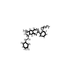 CCCOc1ccccc1-c1ncc2cc3c(cc2n1)N(CCc1ccccc1)CN3